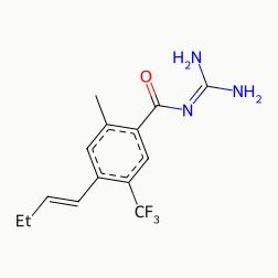 CCC=Cc1cc(C)c(C(=O)N=C(N)N)cc1C(F)(F)F